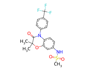 CC1(C)Oc2cc(NS(C)(=O)=O)ccc2N(c2ccc(C(F)(F)F)cc2)C1=O